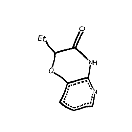 CCC1Oc2cccnc2NC1=O